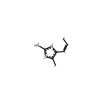 C/C=C\c1nc(S)sc1C